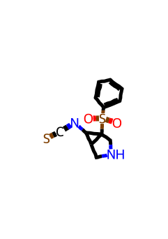 O=S(=O)(c1ccccc1)C12CNCC1C2N=C=S